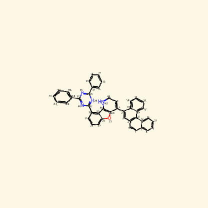 C1=C(c2cc3ccc4ccccc4c3c3ccccc23)c2oc3cccc(-c4nc(-c5ccccc5)nc(-c5ccccc5)n4)c3c2NC1